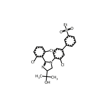 CCS(=O)(=O)c1cccc(-c2ccc(N3CC(C(C)(C)O)N=C3c3c(C)cccc3Cl)c(Cl)c2)c1